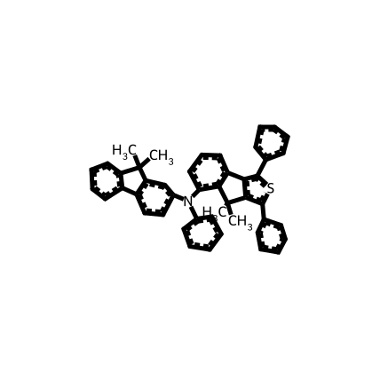 CC1(C)c2ccccc2-c2ccc(N(c3ccccc3)c3cccc4c3C(C)(C)c3c(-c5ccccc5)sc(-c5ccccc5)c3-4)cc21